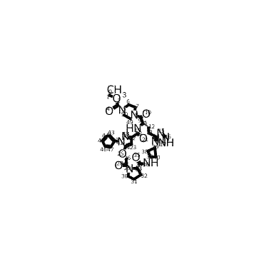 CCOC(=O)N1CCN(C(=O)[C@H](CCc2nn[nH]n2)NC(=O)c2cc(OCC(=O)N3CCC[C@H]3C(=O)NC3CCC3)n(-c3ccccc3)n2)CC1